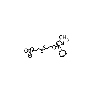 Cc1cc(OCCSSCCO[N+](=O)[O-])n(-c2ccccc2)n1